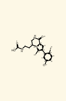 O=C(O)NCCC1CNC(=O)c2cc(-c3cc(Cl)ccc3F)c(I)n21